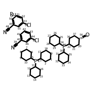 C1CCC(P(C2CCCCC2)C2CCCCC2)CC1.C1CCC(P(C2CCCCC2)C2CCCCC2)CC1.N#Cc1cccc(Cl)c1.N#Cc1cccc(Cl)c1.[C]=O.[Ru]